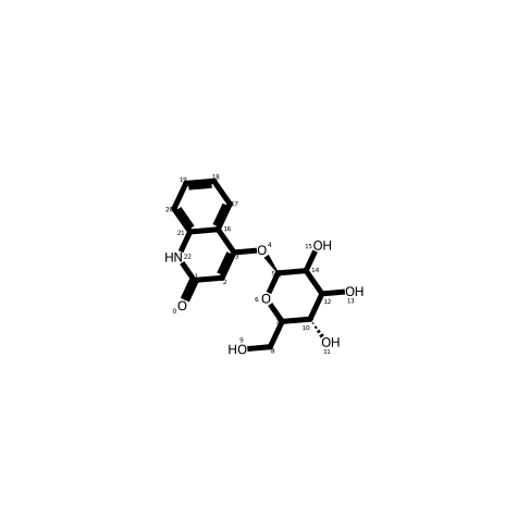 O=c1cc(O[C@@H]2OC(CO)[C@@H](O)C(O)C2O)c2ccccc2[nH]1